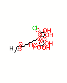 COC(=O)CCCCCCCCO[C@H]1O[C@H](COCl)[C@@H](O)[C@H](O)[C@H]1O[C@H]1O[C@H](CO)[C@@H](O)[C@H](O)[C@H]1O